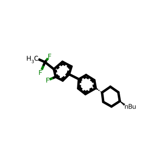 CCCC[C@H]1CC[C@H](c2ccc(-c3ccc(C(C)(F)F)c(F)c3)cc2)CC1